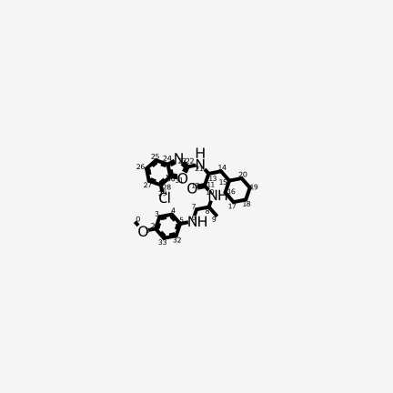 COc1ccc(NCC(C)NC(=O)C(CC2CCCCC2)Nc2nc3cccc(Cl)c3o2)cc1